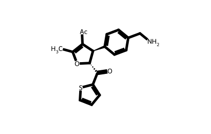 CC(=O)C1=C(C)O[C@@H](C(=O)c2cccs2)[C@@H]1c1ccc(CN)cc1